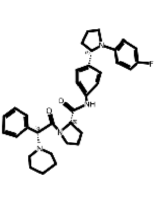 O=C(Nc1ccc([C@@H]2CCCN2c2ccc(F)cc2)cc1)[C@@H]1CCCN1C(=O)[C@@H](c1ccccc1)N1CCCCC1